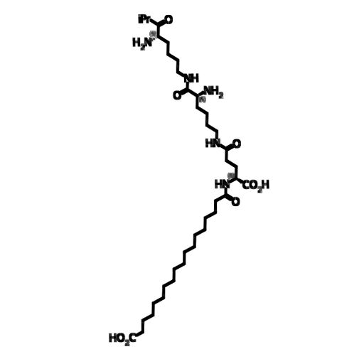 CC(C)C(=O)[C@@H](N)CCCCNC(=O)[C@@H](N)CCCCNC(=O)CC[C@H](NC(=O)CCCCCCCCCCCCCCCCC(=O)O)C(=O)O